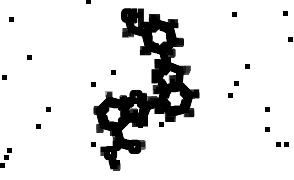 COC(=O)c1cccc2oc(-c3cccc4c3N=C(c3cccc(CO)c3)C4)nc12